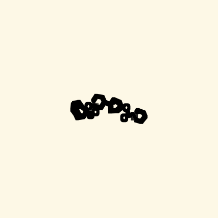 O=C(Oc1ccc(C2CCC[C@]3(C2)OOC2(O3)C3CC4CC(C3)CC2C4)cc1)N1CCCCC1